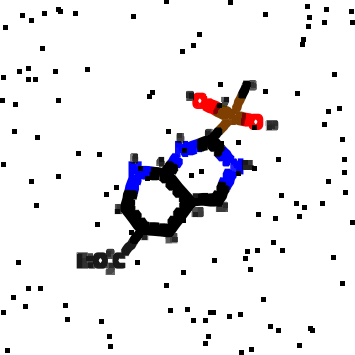 CCOC(=O)c1cnc2nc(S(C)(=O)=O)ncc2c1